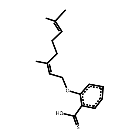 CC(C)=CCCC(C)=CCOc1ccccc1C(O)=S